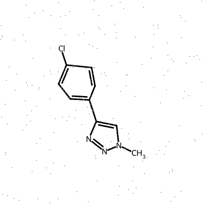 Cn1cc(-c2c[c]c(Cl)cc2)nn1